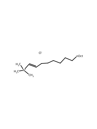 CCCCCCCCCCCCCCC=C[N+](C)(C)C.[Cl-]